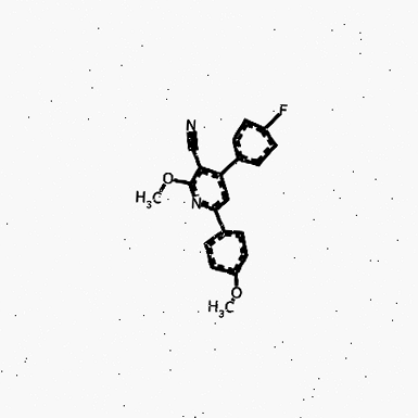 COc1ccc(-c2cc(-c3ccc(F)cc3)c(C#N)c(OC)n2)cc1